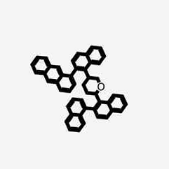 c1ccc2cc3c(-c4ccc5ccccc5c4C4CCC(c5c(-c6cccc7ccccc67)ccc6ccccc56)OC4)cccc3cc2c1